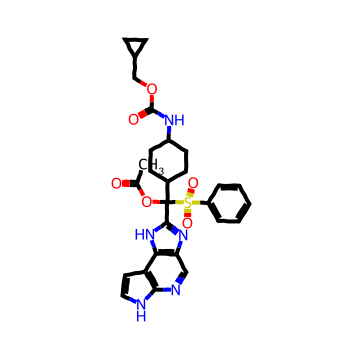 CC(=O)OC(c1nc2cnc3[nH]ccc3c2[nH]1)(C1CCC(NC(=O)OCC2CC2)CC1)S(=O)(=O)c1ccccc1